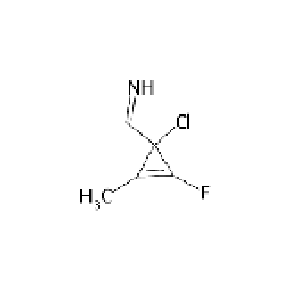 CC1=C(F)C1(Cl)C=N